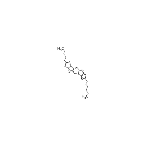 CCCCCCc1cc2sc3cc4c(cc3c2s1)sc1cc(CCCCC)sc14